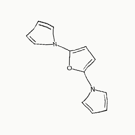 c1ccn(-c2ccc(-n3cccc3)o2)c1